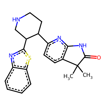 CC1(C)C(=O)Nc2nc(C3CCNCC3c3nc4ccccc4s3)ccc21